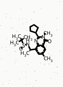 Cc1cc([C@@H](C)N[S+]([O-])C(C)(C)C)c2nc(C3CCCC3)n(C)c(=O)c2c1